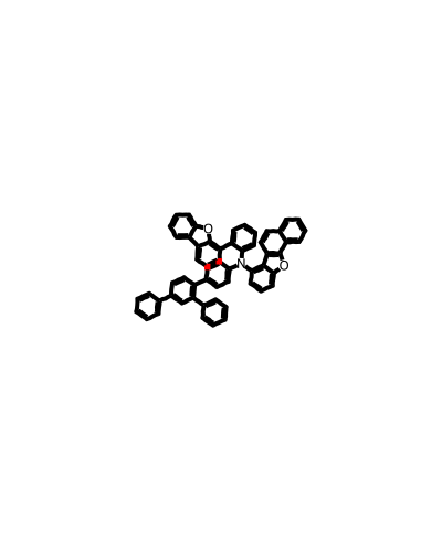 c1ccc(-c2ccc(-c3ccc(N(c4ccccc4-c4cccc5c4oc4ccccc45)c4cccc5oc6c7ccccc7ccc6c45)cc3)c(-c3ccccc3)c2)cc1